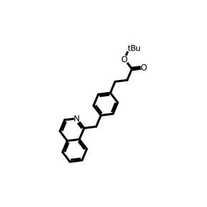 CC(C)(C)OC(=O)CCc1ccc(Cc2nccc3ccccc23)cc1